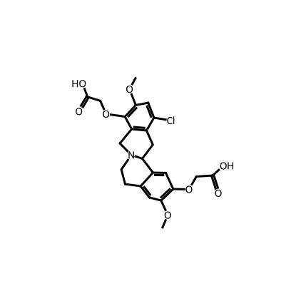 COc1cc2c(cc1OCC(=O)O)C1Cc3c(Cl)cc(OC)c(OCC(=O)O)c3CN1CC2